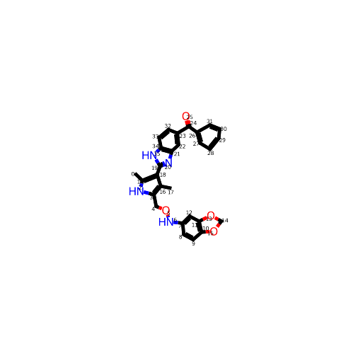 Cc1[nH]c(CONc2ccc3c(c2)OCO3)c(C)c1-c1nc2cc(C(=O)c3ccccc3)ccc2[nH]1